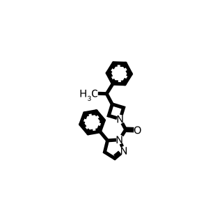 CC(c1ccccc1)C1CN(C(=O)N2N=CCC2c2ccccc2)C1